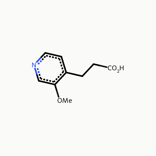 COc1cnccc1CCC(=O)O